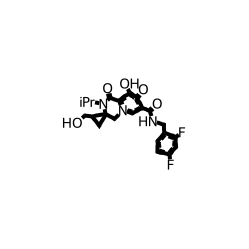 CC(C)N1C(=O)c2c(O)c(=O)c(C(=O)NCc3ccc(F)cc3F)cn2CC12CC2CO